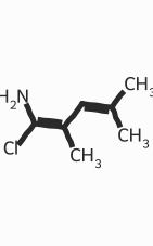 CC(C)=C/C(C)=C(\N)Cl